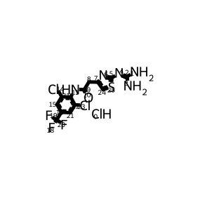 Cl.NC(N)=Nc1nc(CC(=O)Nc2c(Cl)cc(C(F)(F)F)cc2Cl)cs1